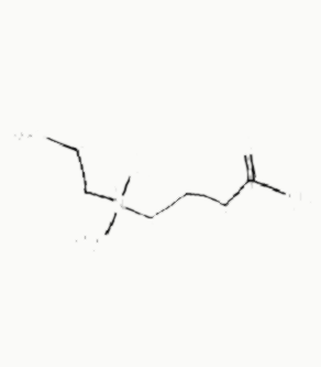 COCC[N+](C)(C)CCCC(=O)C(F)(F)F